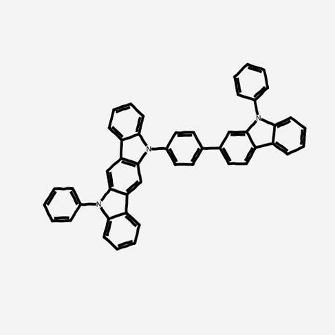 c1ccc(-n2c3ccccc3c3ccc(-c4ccc(-n5c6ccccc6c6cc7c(cc65)c5ccccc5n7-c5ccccc5)cc4)cc32)cc1